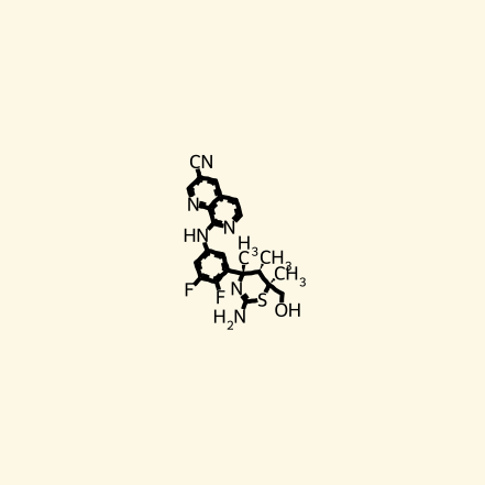 C[C@@H]1[C@@](C)(CO)SC(N)=N[C@]1(C)c1cc(Nc2nccc3cc(C#N)cnc23)cc(F)c1F